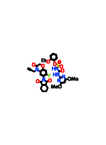 C#CCN1C(=O)COc2cc(F)c(N3C(=O)C4=C(CCCC4)C3=O)cc21.CCOc1ccccc1OS(=O)(=O)NC(=O)Nc1nc(OC)cc(OC)n1